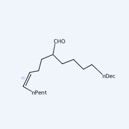 CCCCC/C=C\CCC(C=O)CCCCCCCCCCCCCC